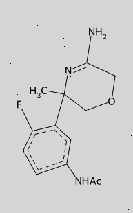 CC(=O)Nc1ccc(F)c(C2(C)COCC(N)=N2)c1